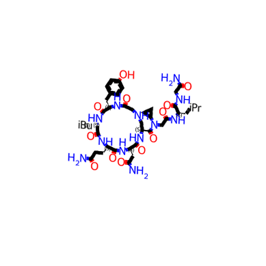 CC[C@H](C)[C@@H]1NC(=O)[C@H](Cc2ccc(O)cc2)NC(=O)CNC[C@@H](C(=O)N(CC(=O)N[C@@H](CC(C)C)C(=O)NCC(N)=O)C2CC2)NC(=O)[C@H](CC(N)=O)NC(=O)[C@H](CCC(N)=O)NC1=O